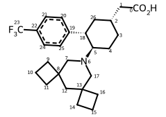 O=C(O)C[C@@H]1CC[C@@H](N2CC3(CCC3)CC3(CCC3)C2)[C@H](c2ccc(C(F)(F)F)cc2)C1